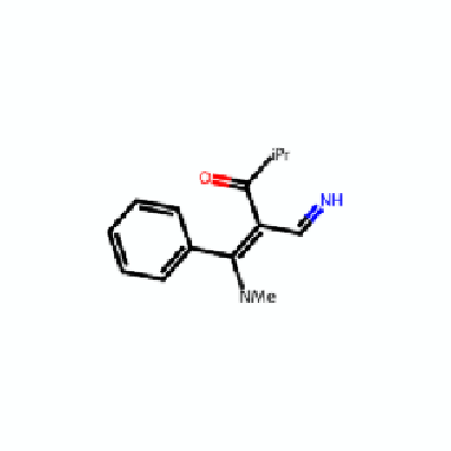 CN/C(=C(\C=N)C(=O)C(C)C)c1ccccc1